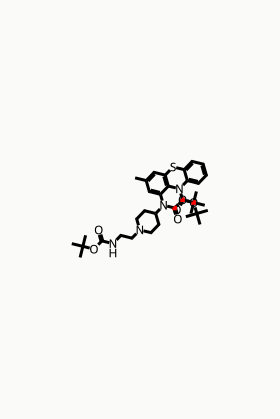 Cc1cc2c(c(N(C(=O)OC(C)(C)C)C3CCN(CCNC(=O)OC(C)(C)C)CC3)c1)N(C(=O)OC(C)(C)C)c1ccccc1S2